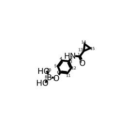 O=C(Nc1ccc(OB(O)O)cc1)C1CC1